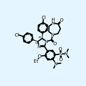 CCOc1cc(N(C)C)c(S(=O)(=O)N(C)C)cc1C1=N[C@@H](c2ccc(Cl)cc2)[C@@H](c2ccc(Cl)cc2)N1C(=O)N1CCNC(=O)CC1